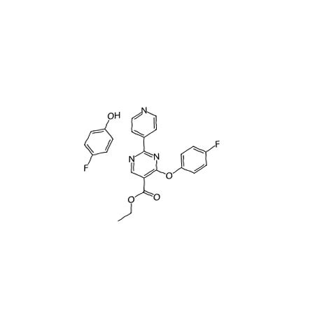 CCOC(=O)c1cnc(-c2ccncc2)nc1Oc1ccc(F)cc1.Oc1ccc(F)cc1